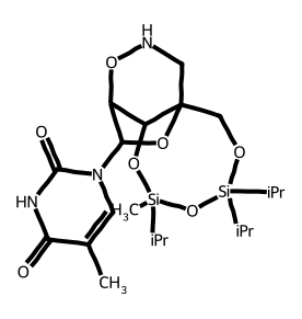 Cc1cn(C2OC34CNOC2C3O[Si](C)(C(C)C)O[Si](C(C)C)(C(C)C)OC4)c(=O)[nH]c1=O